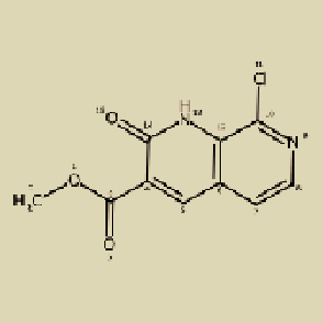 COC(=O)c1cc2ccnc(Cl)c2[nH]c1=O